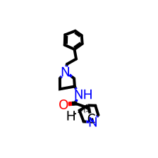 O=C(NC1CCN(CCc2ccccc2)C1)[C@@H]1CN2CCC1CC2